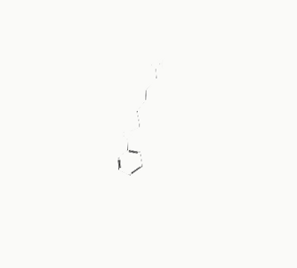 OCCCCCOc1ccccc1